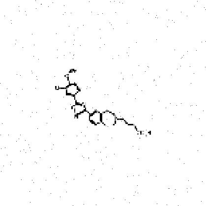 CC(C)Oc1ncc(-c2nc(-c3ccc4c(c3)CCN(CCCC(=O)O)CC4)no2)cc1Cl